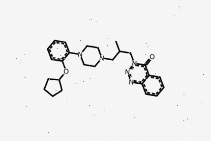 CC(CN1CCN(c2ccccc2OC2CCCC2)CC1)Cn1nnc2ccccc2c1=O